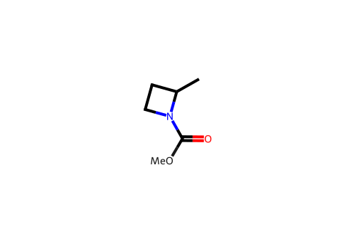 COC(=O)N1CCC1C